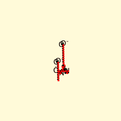 CCCCCCCCCCCCCCCCCC(=O)[O-].CCCCCCCCCCCCCCCCCC(=O)[O-].Cc1ccc(-c2cc(-c3ccccn3)nc(-c3ccccn3)c2)cc1.[Cu+2]